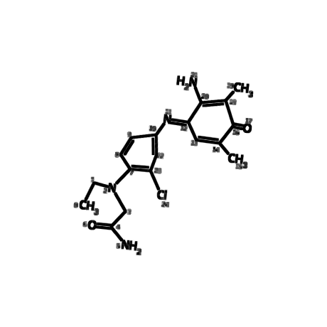 CCN(CC(N)=O)c1ccc(N=C2C=C(C)C(=O)C(C)=C2N)cc1Cl